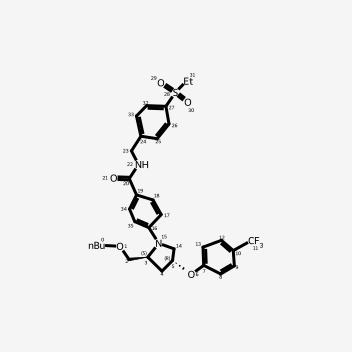 CCCCOC[C@@H]1C[C@@H](Oc2ccc(C(F)(F)F)cc2)CN1c1ccc(C(=O)NCc2ccc(S(=O)(=O)CC)cc2)cc1